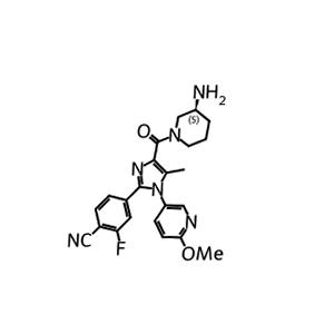 COc1ccc(-n2c(-c3ccc(C#N)c(F)c3)nc(C(=O)N3CCC[C@H](N)C3)c2C)cn1